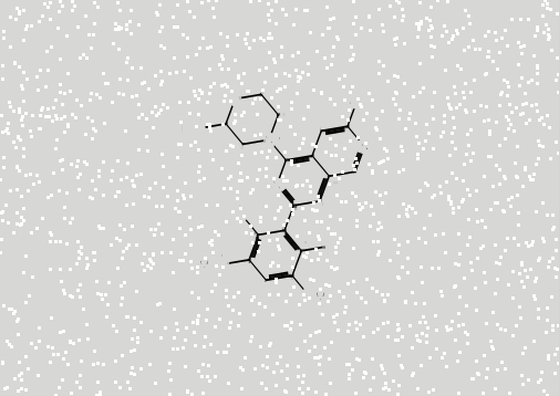 COc1cc(OC)c(F)c(-c2cc3cnc(Cl)cc3c(N3CCOC(C)C3)n2)c1F